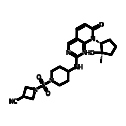 C[C@@]1(O)CCC[C@H]1n1c(=O)ccc2cnc(NC3CCN(S(=O)(=O)N4CC(C#N)C4)CC3)nc21